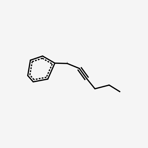 CCCC#C[CH]c1ccccc1